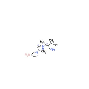 BC1CCN(C(C)/C=C\N/C(C)=C(\C=N)C(=C)CCC)C1